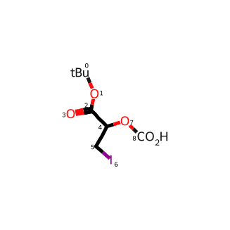 CC(C)(C)OC(=O)C(CI)OC(=O)O